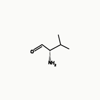 CC(C)[C@H](N)C=O